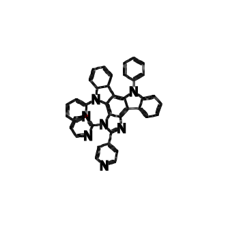 C1=CC2c3c(c4c(nc(-c5ccncc5)n4-c4ncccn4)c4c5ccccc5n(-c5ccccc5)c34)N(c3ccccc3)C2C=C1